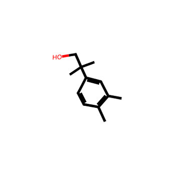 Cc1ccc(C(C)(C)CO)cc1C